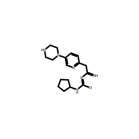 CC/C(=N\C(=N)Cc1ccc(N2CCNCC2)cn1)NC1CCCC1